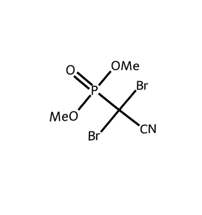 COP(=O)(OC)C(Br)(Br)C#N